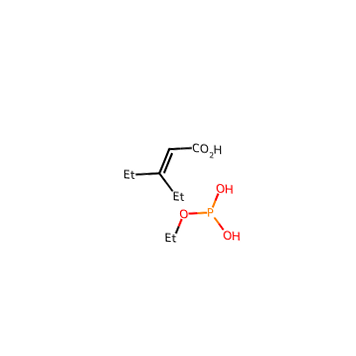 CCC(=CC(=O)O)CC.CCOP(O)O